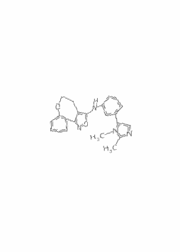 Cc1ncc(-c2cccc(Nc3onc4c3CCOc3ccccc3-4)c2)n1C